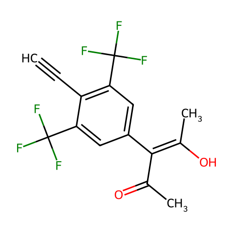 C#Cc1c(C(F)(F)F)cc(/C(C(C)=O)=C(\C)O)cc1C(F)(F)F